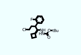 CC(C)(C)OC(=O)NNC(=C1CCC1)C(CCCl)c1ccccc1F